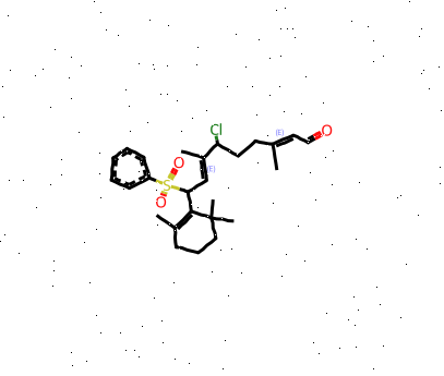 CC1=C(C(/C=C(\C)C(Cl)CC/C(C)=C/C=O)S(=O)(=O)c2ccccc2)C(C)(C)CCC1